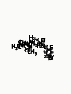 Cc1cc(N(C)C)nc(NC2CCC(C(=O)NCc3ccc(Br)cc3F)CC2)n1